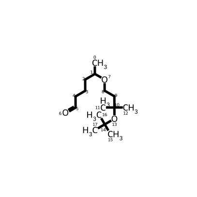 CC(CCCC=O)OCCC(C)(C)OC(C)(C)C